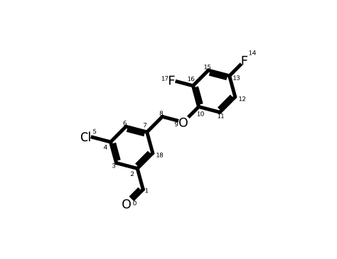 O=Cc1cc(Cl)cc(COc2ccc(F)cc2F)c1